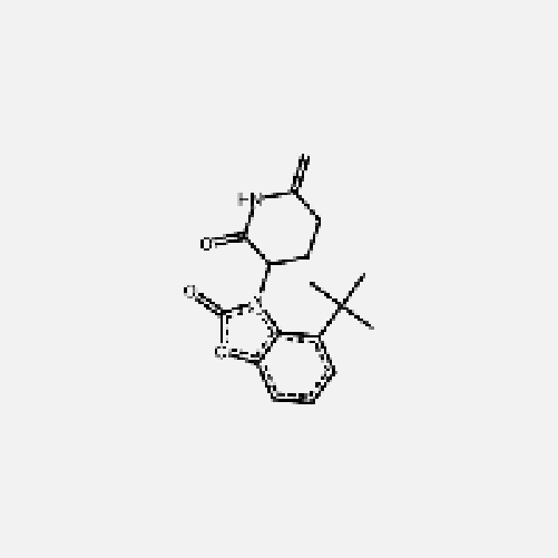 C=C1CCC(n2c(=O)oc3cccc(C(C)(C)C)c32)C(=O)N1